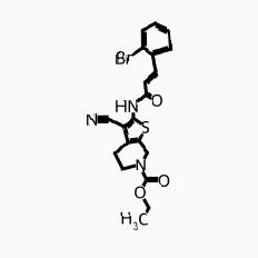 CCOC(=O)N1CCc2c(sc(NC(=O)C=Cc3ccccc3Br)c2C#N)C1